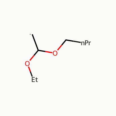 [CH2]C(OCC)OCCCC